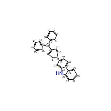 c1ccc([Si](c2ccccc2)c2ccccc2)cc1.c1ccc2c(c1)[nH]c1ccccc12